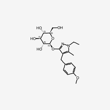 CCn1nc(O[C@@H]2O[C@H](CO)[C@@H](O)[C@H](O)[C@H]2O)c(Cc2ccc(OC)cc2)c1C